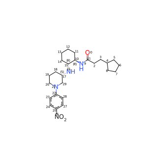 O=C(CCC1CCCC1)N[C@@H]1CCCC[C@H]1N[C@H]1CCCN(c2ccc([N+](=O)[O-])cc2)C1